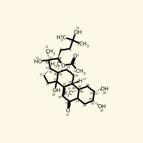 CC(=O)O[C@H](CCC(C)(C)O)[C@](C)(O)[C@H]1CCC2(O)C3=CC(=O)C4C[C@@H](O)[C@@H](O)C[C@]4(C)[C@H]3CC[C@]12C